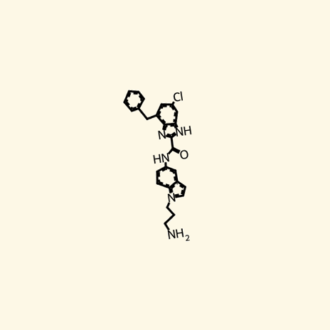 NCCCn1ccc2cc(NC(=O)c3nc4c(Cc5ccccc5)cc(Cl)cc4[nH]3)ccc21